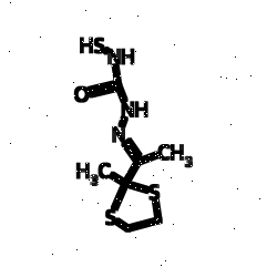 C/C(=N\NC(=O)NS)C1(C)SCCS1